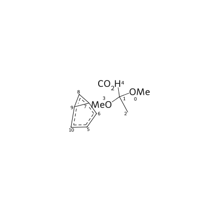 COC(C)(OC)C(=O)O.c1cc2cc-2c1